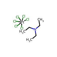 CCN(CC)CC.[Cl][Pt]([Cl])([Cl])([Cl])([Cl])[Cl]